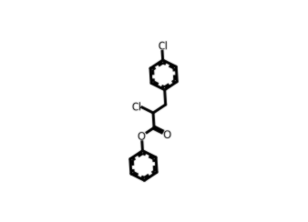 O=C(Oc1ccccc1)C(Cl)Cc1ccc(Cl)cc1